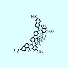 CCCCc1cc(C)c(N(c2ccc3c(c2)C(C)(C)c2cc(N(c4ccc5cc(C)ccc5c4)c4c(C)cc(CCCC)cc4C)ccc2-3)c2ccc3cc(C)ccc3c2)c(C)c1